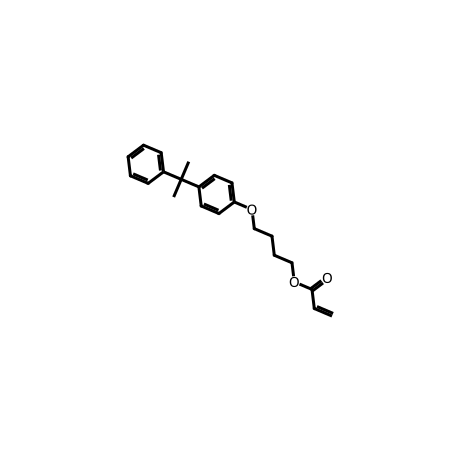 C=CC(=O)OCCCCOc1ccc(C(C)(C)c2ccccc2)cc1